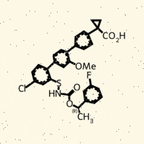 COc1cc(-c2ccc(Cl)cc2SNC(=O)O[C@H](C)c2cccc(F)c2)ccc1-c1ccc(C2(C(=O)O)CC2)cc1